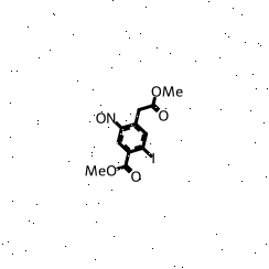 COC(=O)Cc1cc(I)c(C(=O)OC)cc1N=O